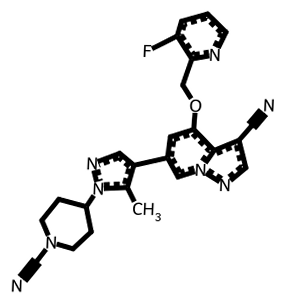 Cc1c(-c2cc(OCc3ncccc3F)c3c(C#N)cnn3c2)cnn1C1CCN(C#N)CC1